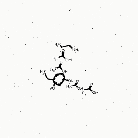 CC(=O)O.CC(=O)O.CC(=O)O.CC(=O)O.CCc1ccc(O)cc1O.NCCN